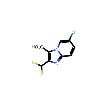 O=C(O)c1c(C(F)F)nc2ccc(Cl)cn12